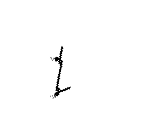 CCCCCCCCCCC(c1ccc(N)cc1)c1ccc(CCCCCCCCCCCCCCCCCCCCc2ccc(C(CCCCCCCCCC)c3ccc(N)cc3)cc2)cc1